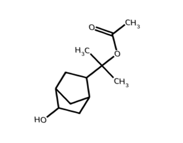 CC(=O)OC(C)(C)C1CC2CC1CC2O